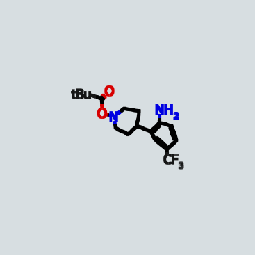 CC(C)(C)C(=O)ON1CCC(c2cc(C(F)(F)F)ccc2N)CC1